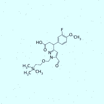 COc1ccc(C(CC(=O)O)c2cc(C=O)n(COCC[Si](C)(C)C)n2)cc1F